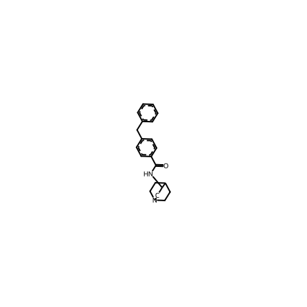 O=C(NC1CN2CCC1CC2)c1ccc(Cc2ccccc2)cc1